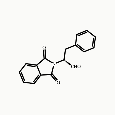 O=C[C@H](Cc1ccccc1)N1C(=O)c2ccccc2C1=O